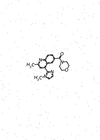 Cc1cc(-c2nccn2C)c2cc(C(=O)N3CCOCC3)ccc2n1